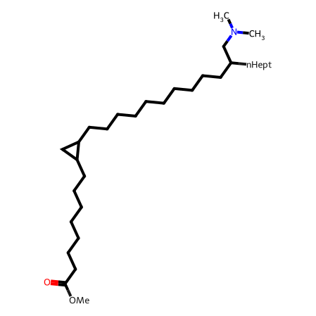 CCCCCCCC(CCCCCCCCCCC1CC1CCCCCCCC(=O)OC)CN(C)C